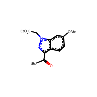 CCOC(=O)Cn1nc(C(=O)C(C)(C)C)c2ccc(OC)cc21